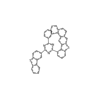 c1ccc(-c2nc(-c3ccc4sc5ccccc5c4c3)nc(-c3cccc4sc5cc6ccc7ccccc7c6cc5c34)n2)cc1